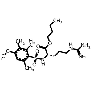 CCCCOC(=O)[C@H](CCCNC(=N)N)NS(=O)(=O)c1c(C)cc(OC)c(C)c1C